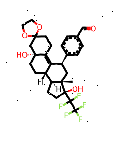 C[C@]12C[C@H](c3ccc(C=O)cc3)C3=C4CCC5(C[C@]4(O)CC[C@H]3[C@@H]1CC[C@@]2(O)C(F)(F)C(F)(F)F)OCCO5